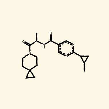 CC(NC(=O)c1cnc(C2CC2C)nc1)C(=O)N1CCC2(CC1)CC2